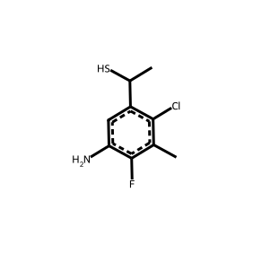 Cc1c(F)c(N)cc(C(C)S)c1Cl